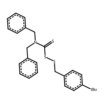 CC(C)(C)c1ccc(CSSC(=S)N(Cc2ccccc2)Cc2ccccc2)cc1